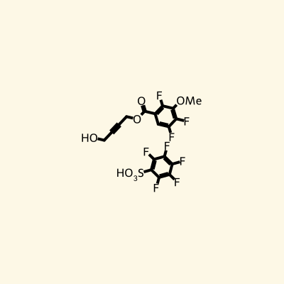 COc1c(F)c(F)cc(C(=O)OCC#CCO)c1F.O=S(=O)(O)c1c(F)c(F)c(F)c(F)c1F